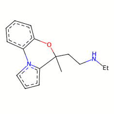 CCNCCC1(C)Oc2ccccc2-n2cccc21